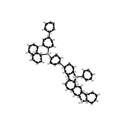 c1ccc(-c2ccc(N(c3ccc(-c4ccc5c(c4)c4ccc6cc7sc8ccccc8c7cc6c4n5-c4ccccc4)cc3)c3cccc4ccccc34)cc2)cc1